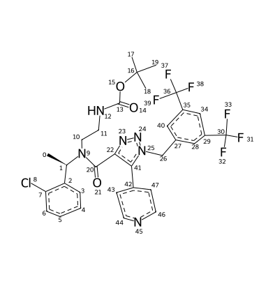 C[C@H](c1ccccc1Cl)N(CCNC(=O)OC(C)(C)C)C(=O)c1nnn(Cc2cc(C(F)(F)F)cc(C(F)(F)F)c2)c1-c1ccncc1